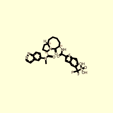 CN(C(=O)[C@@H]1CC[C@@H]2CCCC[C@H](NC(=O)c3cc4cc(C(F)(F)P(=O)(O)O)ccc4s3)C(=O)N21)c1ccc2nnccc2c1